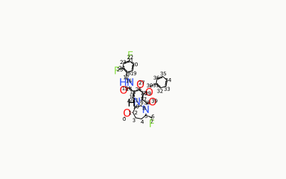 CO[C@H]1CC[C@H](CF)N2C[C@H]1n1cc(C(=O)NCc3ccc(F)cc3F)c(=O)c(OCc3ccccc3)c1C2=O